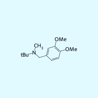 COc1ccc(CN(C)C(C)(C)C)cc1OC